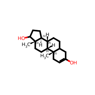 C[C@]12CC=C(O)CC1CC[C@@H]1[C@H]2CC[C@]2(C)C(O)CC[C@@H]12